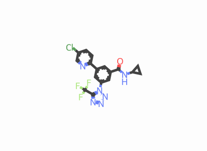 O=C(NC1CC1)c1cc(-c2ccc(Cl)cn2)cc(-n2nnnc2C(F)(F)F)c1